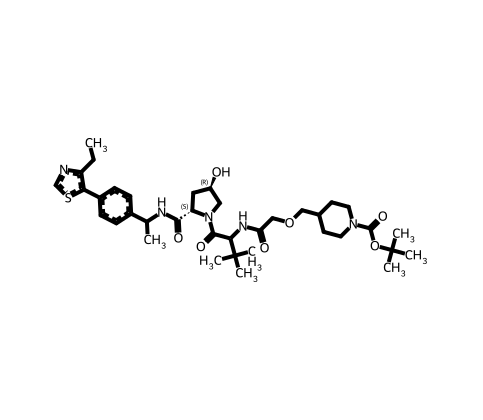 CCc1ncsc1-c1ccc(C(C)NC(=O)[C@@H]2C[C@@H](O)CN2C(=O)C(NC(=O)COCC2CCN(C(=O)OC(C)(C)C)CC2)C(C)(C)C)cc1